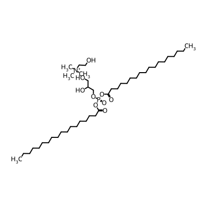 CCCCCCCCCCCCCCCCCC(=O)OP(=O)(OCC(O)CO)OC(=O)CCCCCCCCCCCCCCCCC.C[N+](C)(C)CCO